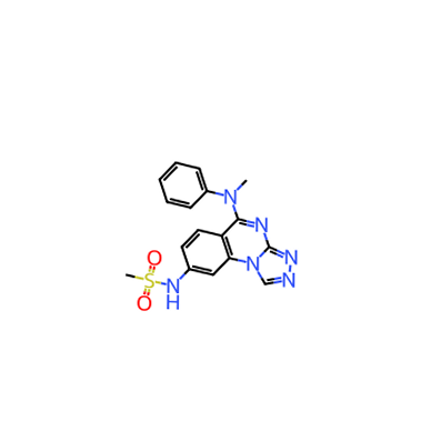 CN(c1ccccc1)c1nc2nncn2c2cc(NS(C)(=O)=O)ccc12